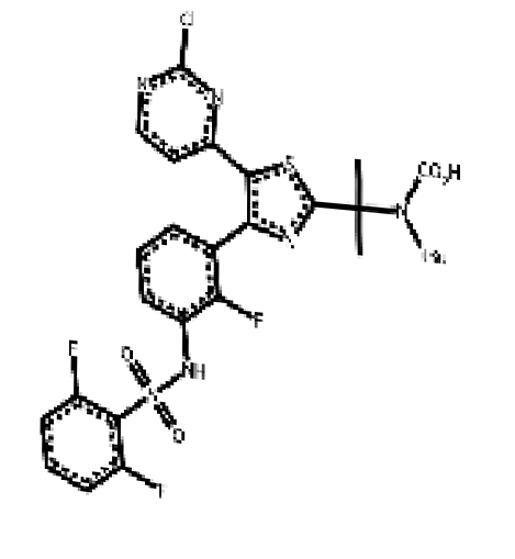 CC(C)(C)N(C(=O)O)C(C)(C)c1nc(-c2cccc(NS(=O)(=O)c3c(F)cccc3F)c2F)c(-c2ccnc(Cl)n2)s1